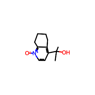 CC(C)(O)c1cc[n+]([O-])c2c1CCCC2